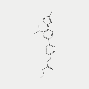 CCCC(=S)CCc1ccc(-c2ccc(-n3ccc(C)n3)c(C(C)C)c2)cc1